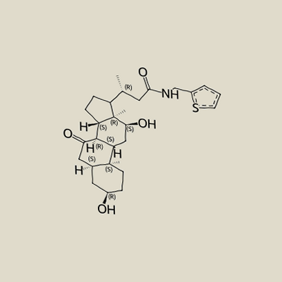 C[C@H](CC(=O)NCc1cccs1)C1CC[C@H]2[C@@H]3C(=O)C[C@@H]4C[C@H](O)CC[C@]4(C)[C@H]3C[C@H](O)[C@]12C